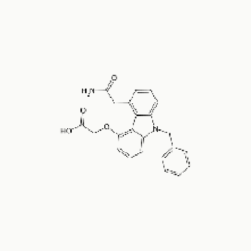 NC(=O)Cc1cccc2c1c1c(OCC(=O)O)cccc1n2Cc1ccccc1